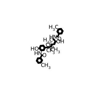 C=C(NC(=O)c1cccc(C)c1)/C(O)=C\C=C(/C)C(c1ccc(O)c(NC(=O)c2cccc(C)c2)c1)(C(F)(F)F)C(F)(F)F